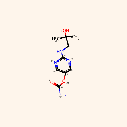 CC(C)(O)CNc1ncc(OC(N)=O)cn1